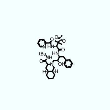 CC(C)(C)NC(=O)C1C[C@@H]2CCCC[C@@H]2CN1CC(O)C(Cc1ccccc1)NC(=O)[C@@H](NC(=O)c1ccccn1)C(C)(C)S(C)(=O)=O